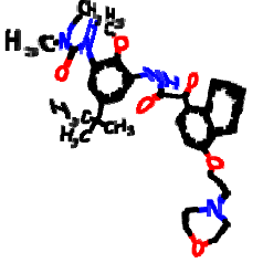 COc1c(NC(=O)C(=O)c2ccc(OCCN3CCOCC3)c3ccccc23)cc(C(C)(C)C)cc1NC(=O)N(C)C